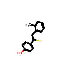 Cc1ccccc1CC(S)c1ccc(O)cc1